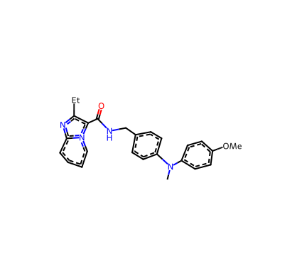 CCc1nc2ccccn2c1C(=O)NCc1ccc(N(C)c2ccc(OC)cc2)cc1